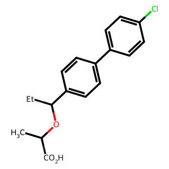 CCC(OC(C)C(=O)O)c1ccc(-c2ccc(Cl)cc2)cc1